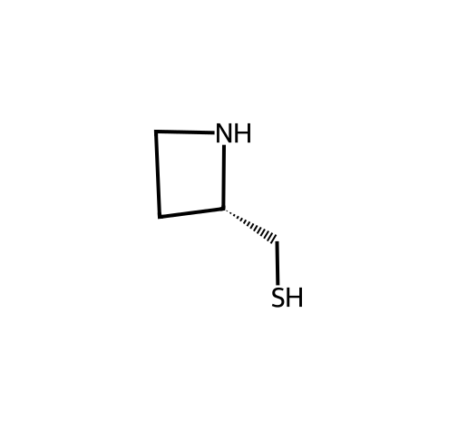 SC[C@@H]1CCN1